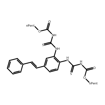 CCCCCOC(=O)NC(=S)Nc1ccc(C=Cc2ccccc2)cc1NC(=S)NC(=O)OCCCCC